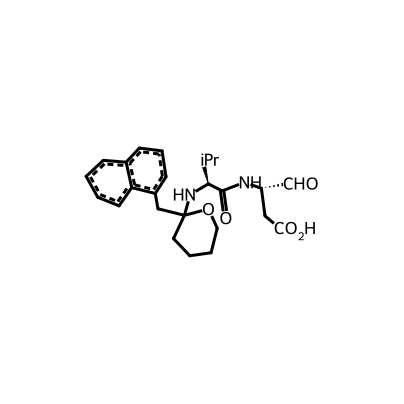 CC(C)[C@H](NC1(Cc2cccc3ccccc23)CCCCO1)C(=O)N[C@H](C=O)CC(=O)O